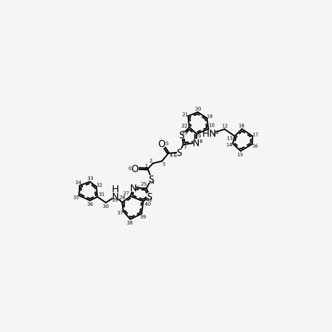 O=C(CCC(=O)Sc1nc2c(NCc3ccccc3)cccc2s1)Sc1nc2c(NCc3ccccc3)cccc2s1